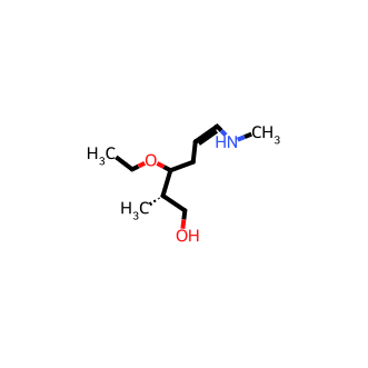 CCOC(C/C=C\NC)[C@@H](C)CO